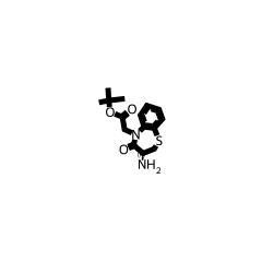 CC(C)(C)OC(=O)CN1C(=O)[C@@H](N)CSc2ccccc21